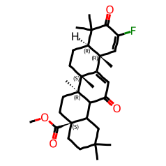 COC(=O)[C@]12CCC(C)(C)CC1C1C(=O)C=C3[C@@]4(C)C=C(F)C(=O)C(C)(C)[C@@H]4CC[C@@]3(C)[C@]1(C)CC2